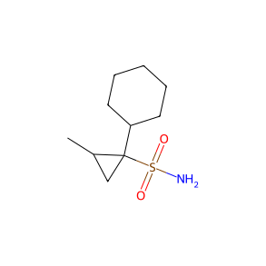 CC1CC1(C1CCCCC1)S(N)(=O)=O